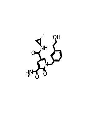 CNC(=O)c1cc(C(=O)N[C@H]2C[C@@H]2C)cn(Cc2cccc(CCO)c2)c1=O